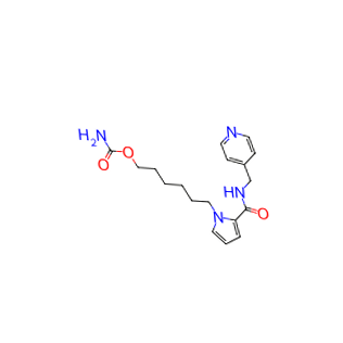 NC(=O)OCCCCCCn1cccc1C(=O)NCc1ccncc1